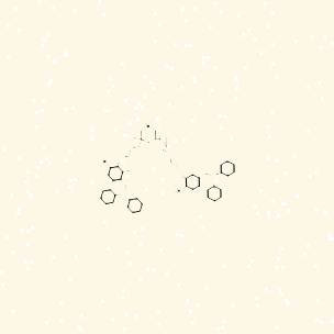 Cc1cc(C(C)(C)C)c(OCCCC2(C)CC(NCOCCOc3c(C(C)(C)C)cc(C)c(CP(c4ccccc4)c4ccccc4)c3C)CC(C)(C)C2)c(C)c1CP(c1ccccc1)c1ccccc1